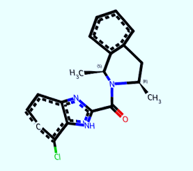 C[C@@H]1Cc2ccccc2[C@H](C)N1C(=O)c1nc2cccc(Cl)c2[nH]1